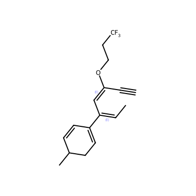 C#C/C(=C\C(=C/C)C1=CCC(C)C=C1)OCCC(F)(F)F